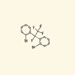 FC(F)(F)C(F)(c1ccccc1Br)c1ccccc1Br